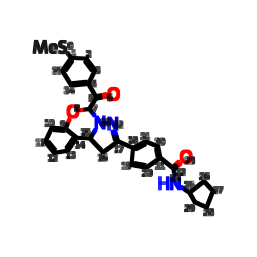 CSc1ccc(C(=O)C2Oc3ccccc3C3CC(c4ccc(C(=O)NC5CCCC5)cc4)=NN23)cc1